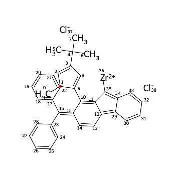 CC1C=C(C(C)(C)C)C=C1c1c2c(ccc1=C(c1ccccc1)c1ccccc1)=c1ccccc1=[C]2[Zr+2].[Cl-].[Cl-]